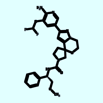 COC[C@@H](NC(=O)N1CCC2(C1)OCCn1nc(-c3cnc(N)c(OC(F)F)c3)cc12)c1ccccc1